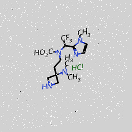 CN(C)C1(CCN(C(=O)O)C(c2nccn2C)C(F)(F)F)CNC1.Cl